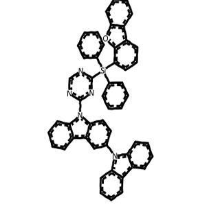 c1ccc([Si](c2ccccc2)(c2ncnc(-n3c4ccccc4c4cc(-n5c6ccccc6c6ccccc65)ccc43)n2)c2cccc3c2oc2ccccc23)cc1